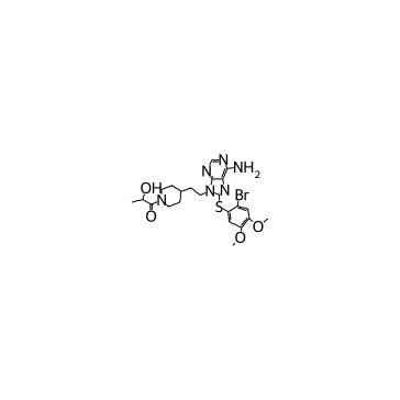 COc1cc(Br)c(Sc2nc3c(N)ncnc3n2CCC2CCN(C(=O)C(C)O)CC2)cc1OC